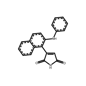 O=C1C=C(c2c(Nc3ccccc3)ccc3ccccc23)C(=O)N1